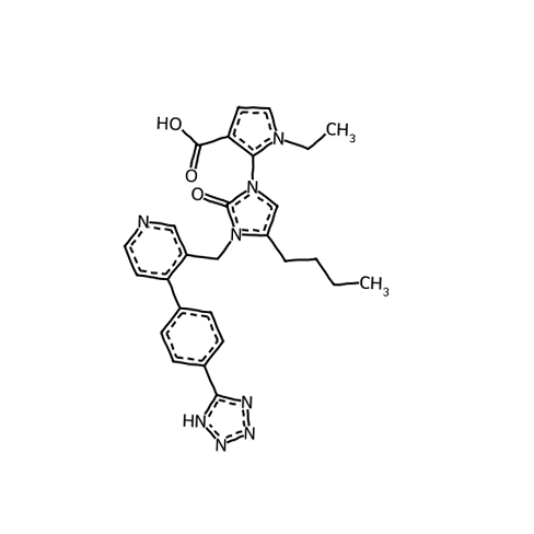 CCCCc1cn(-c2c(C(=O)O)ccn2CC)c(=O)n1Cc1cnccc1-c1ccc(-c2nnn[nH]2)cc1